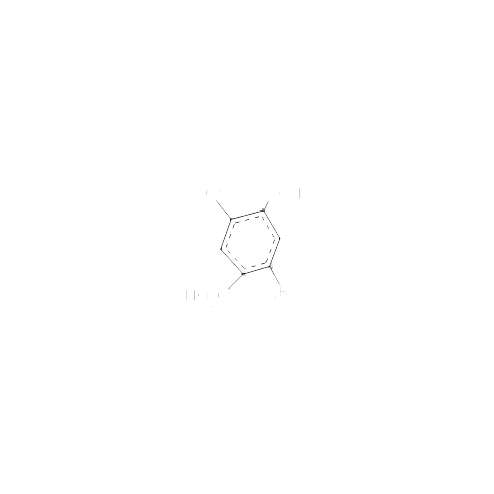 O=C(O)c1cc(C(F)(F)F)c(C(=O)O)cc1Br